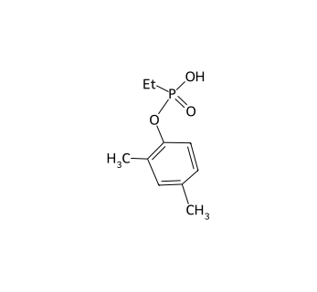 CCP(=O)(O)Oc1ccc(C)cc1C